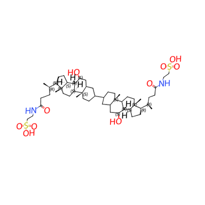 C[C@H](CCC(=O)NCCS(=O)(=O)O)[C@H]1CC[C@H]2[C@H]3C(CC[C@]12C)[C@@]1(C)CCC(C2CC[C@@]4(C)C(C2)C[C@H](O)[C@H]2[C@@H]5CC[C@H]([C@H](C)CCC(=O)NCCS(=O)(=O)O)[C@@]5(C)CC[C@@H]24)CC1C[C@@H]3O